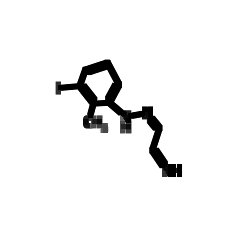 Cc1c(I)cccc1N/N=C\C=N